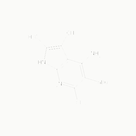 CCCCc1c(C)nc2[nH]c(C)c(C)c2c1N